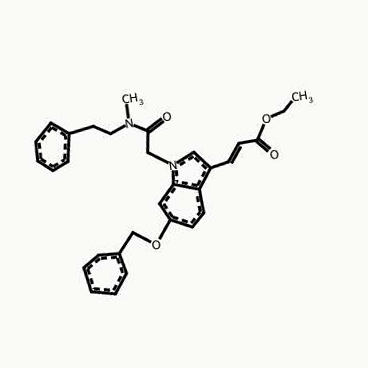 CCOC(=O)C=Cc1cn(CC(=O)N(C)CCc2ccccc2)c2cc(OCc3ccccc3)ccc12